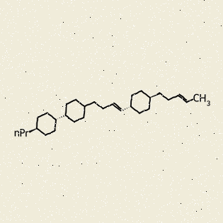 C/C=C/CC[C@H]1CC[C@H](/C=C/CCC2CCC([C@H]3CC[C@H](CCC)CC3)CC2)CC1